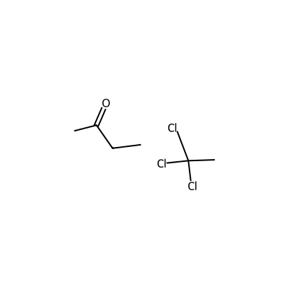 CC(Cl)(Cl)Cl.CCC(C)=O